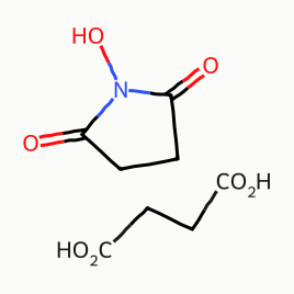 O=C(O)CCC(=O)O.O=C1CCC(=O)N1O